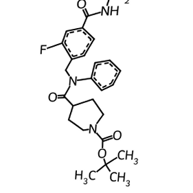 CC(C)(C)OC(=O)N1CCC(C(=O)N(Cc2ccc(C(=O)NN)cc2F)c2ccccc2)CC1